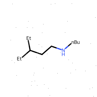 CCCCNCCC(CC)CC